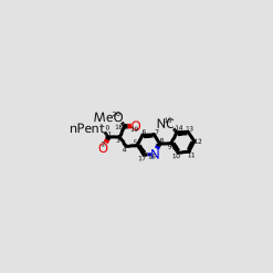 CCCCCC(=O)C(Cc1ccc(-c2ccccc2C#N)nc1)C(=O)OC